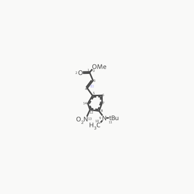 COC(=O)/C=C/c1ccc(N(C)C(C)(C)C)c([N+](=O)[O-])c1